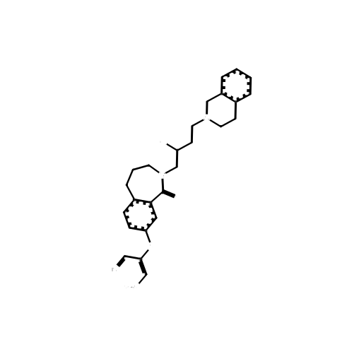 CN/C=C(\C=N)Nc1ccc2c(c1)C(=O)N(CC(O)CCN1CCc3ccccc3C1)CCC2